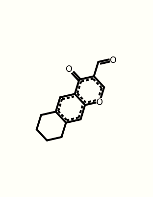 O=Cc1coc2cc3c(cc2c1=O)CCCC3